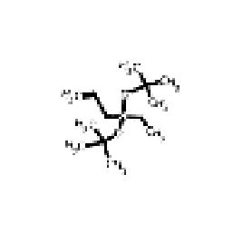 C=CC[Si](CC)(OC(C)(C)C)OC(C)(C)C